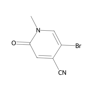 Cn1cc(Br)c(C#N)cc1=O